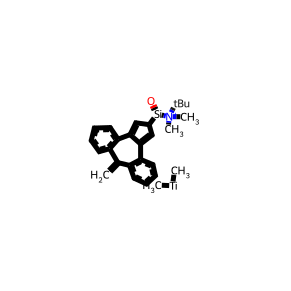 C=C1c2ccccc2C2=CC([Si](=O)[N+](C)(C)C(C)(C)C)C=C2c2ccccc21.[CH3][Ti][CH3]